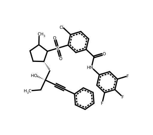 CC[C@](O)(C#Cc1ccccc1)C[C@@H]1CCC(C)C1S(=O)(=O)c1cc(C(=O)Nc2cc(F)c(F)c(F)c2)ccc1Cl